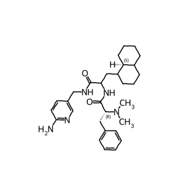 CN(C)[C@H](Cc1ccccc1)C(=O)NC(CC1CCCC2CCCC[C@@H]21)C(=O)NCc1ccc(N)nc1